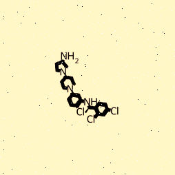 C[C@@H](Nc1cc(N2CCC(N3CCC(N)C3)CC2)ccc1Cl)c1ccc(Cl)cc1Cl